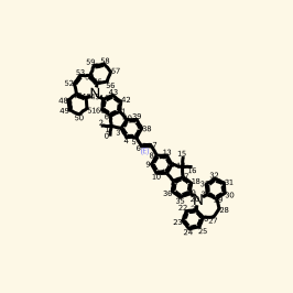 CC1(C)c2cc(/C=C/c3ccc4c(c3)C(C)(C)c3cc(N5c6ccccc6CCc6ccccc65)ccc3-4)ccc2-c2ccc(N3C4=C(C=CCC4)C=CC4=C3CCC=C4)cc21